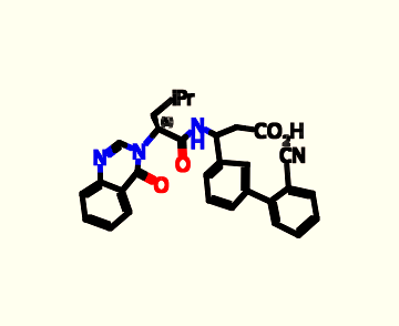 CC(C)C[C@@H](C(=O)NC(CC(=O)O)c1cccc(-c2ccccc2C#N)c1)n1cnc2ccccc2c1=O